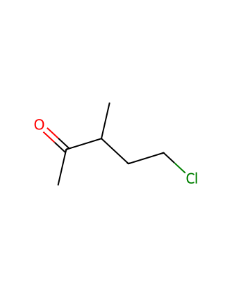 CC(=O)C(C)CCCl